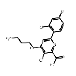 CCCCNc1cc(-c2ccc(Cl)cc2Cl)nc(C(=O)O)c1Cl